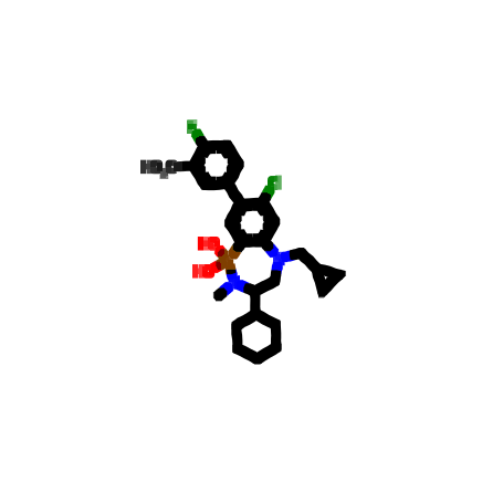 CN1C(C2CCCCC2)CN(CC2CC2)c2cc(Cl)c(-c3ccc(F)c(C(=O)O)c3)cc2S1(O)O